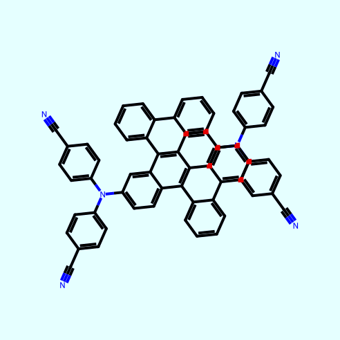 N#Cc1ccc(N(c2ccc(C#N)cc2)c2ccc3c(-c4ccccc4-c4ccccc4)c4cc(N(c5ccc(C#N)cc5)c5ccc(C#N)cc5)ccc4c(-c4ccccc4-c4ccccc4)c3c2)cc1